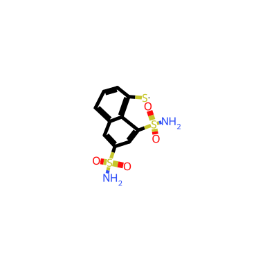 NS(=O)(=O)c1cc(S(N)(=O)=O)c2c([S])cccc2c1